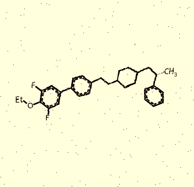 CCOc1c(F)cc(-c2ccc(CCC3CCC(C[C@H](C)c4ccccc4)CC3)cc2)cc1F